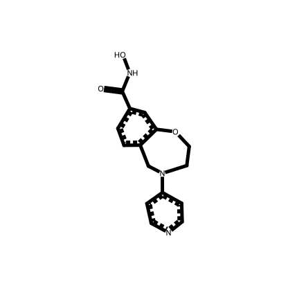 O=C(NO)c1ccc2c(c1)OCCN(c1ccncc1)C2